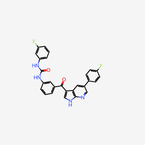 O=C(Nc1cccc(F)c1)Nc1cccc(C(=O)c2c[nH]c3ncc(-c4ccc(F)cc4)cc23)c1